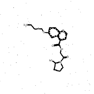 N#CC1CCCN1C(=O)CNC(=O)c1ccnc2ccc(OCCCN)cc12